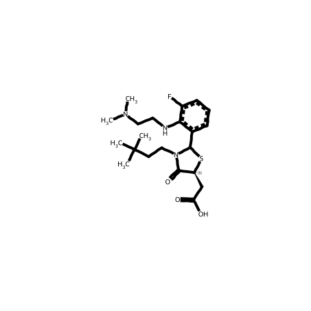 CN(C)CCNc1c(F)cccc1C1S[C@@H](CC(=O)O)C(=O)N1CCC(C)(C)C